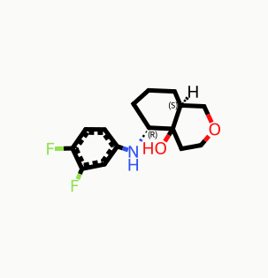 OC12CCOC[C@@H]1CCC[C@H]2Nc1ccc(F)c(F)c1